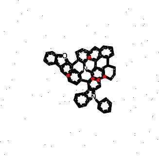 c1ccc(-n2c3ccccc3c3c(-c4ccccc4N(c4ccccc4-c4cccc5c4oc4ccccc45)c4ccccc4-c4cccc5cccc(C6CCCCC6)c45)cccc32)cc1